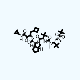 CN(C[C@@H](NC(=O)N[C@H](C(=O)N1C[C@@H]2CCC[C@@H]2[C@H]1C(=O)NC(CC1CCC1)C(=O)C(=O)NC1CC1)C(C)(C)C)C(C)(C)C)S(=O)(=O)C(C)(C)C